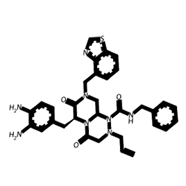 C=CCN1CC(=O)N2C(CN(Cc3cccc4scnc34)C(=O)[C@@H]2Cc2ccc(N)c(N)c2)N1C(=O)NCc1ccccc1